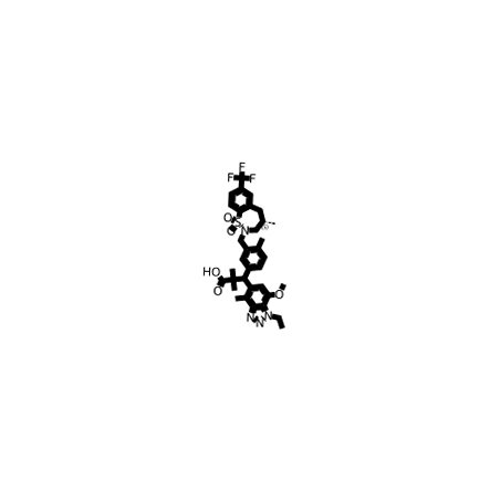 CCn1nnc2c(C)c(C(c3ccc(C)c(CN4C[C@@H](C)Cc5cc(C(F)(F)F)ccc5S4(=O)=O)c3)C(C)(C)C(=O)O)cc(OC)c21